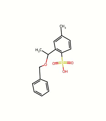 Cc1ccc(S(=O)(=O)O)c(C(C)OCc2ccccc2)c1